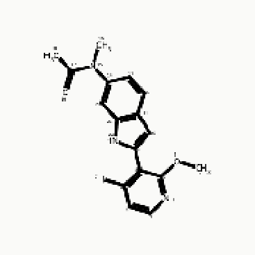 COc1nccc(I)c1-c1cc2ccc(N(C)C(C)=O)cc2[nH]1